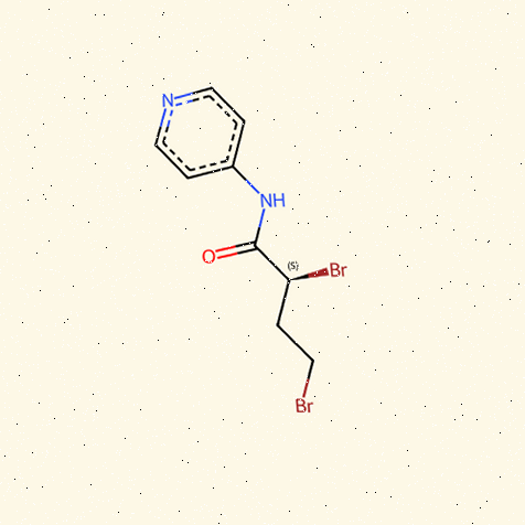 O=C(Nc1ccncc1)[C@@H](Br)CCBr